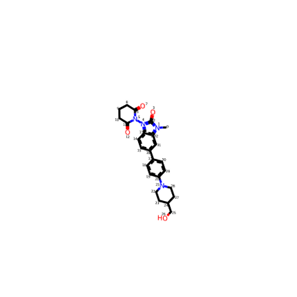 Cn1c(=O)n(N2C(=O)CCCC2=O)c2ccc(-c3ccc(N4CCC(CO)CC4)cc3)cc21